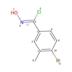 Cc1cc(/C(Cl)=N/O)ccc1Br